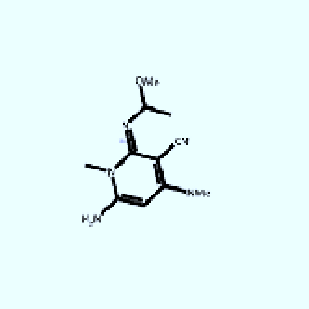 CNc1cc(N)n(C)/c(=N/C(C)OC)c1C#N